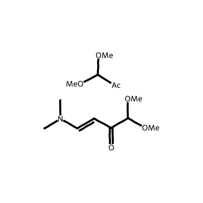 COC(OC)C(=O)C=CN(C)C.COC(OC)C(C)=O